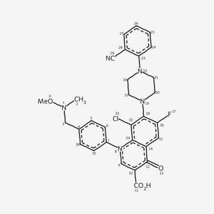 CON(C)Cc1ccc(-n2cc(C(=O)O)c(=O)c3cc(F)c(N4CCN(c5ccccc5C#N)CC4)c(Cl)c32)cc1